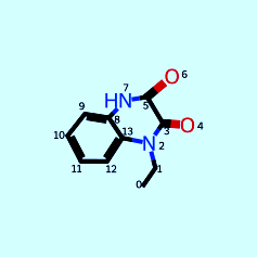 CCn1c(=O)c(=O)[nH]c2ccccc21